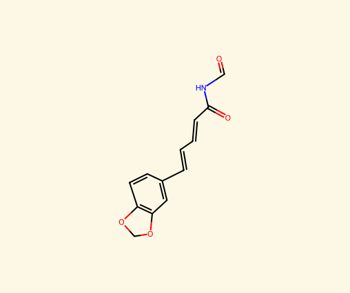 O=CNC(=O)/C=C/C=C/c1ccc2c(c1)OCO2